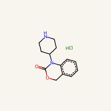 Cl.O=C1OCc2ccccc2N1C1CCNCC1